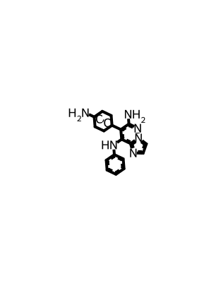 Nc1nn2ccnc2c(Nc2ccccc2)c1C12CCC(N)(CC1)CC2